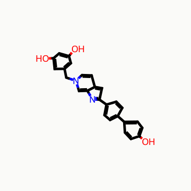 Oc1ccc(-c2ccc(-c3cc4ccn(Cc5cc(O)cc(O)c5)cc-4n3)cc2)cc1